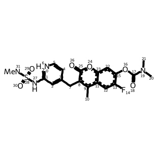 C=C(/C=C(\C=C/N)Cc1c(C)c2cc(F)c(OC(=O)N(C)C)cc2oc1=O)NS(=O)(=O)NC